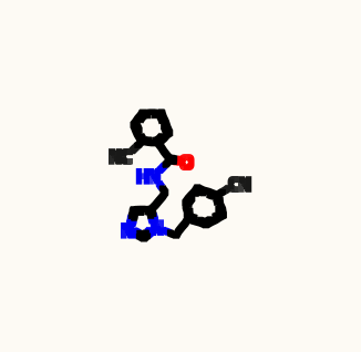 N#Cc1ccc(Cn2cncc2CNC(=O)c2ccccc2C#N)cc1